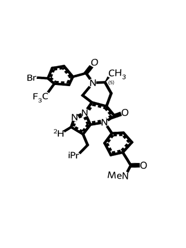 [2H]c1nn2c3c(c(=O)n(-c4ccc(C(=O)NC)cc4)c2c1CC(C)C)C[C@H](C)N(C(=O)c1ccc(Br)c(C(F)(F)F)c1)C3